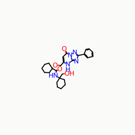 O=C(NC1(CO)CCCCC1)C1(OCc2cc(=O)n3nc(-c4ccccc4)nc3[nH]2)CCCCC1